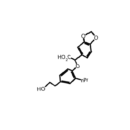 CCCc1cc(CCO)ccc1OC(C(=O)O)c1ccc2c(c1)OCO2